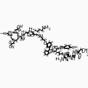 CCC(=O)NCCNC(=O)/N=C(/N)NCCC[C@@H](NC(=O)[C@@H](c1ccccc1)c1cccc(OCCCCNC(=O)[C@@H](CCCCN)NC(=O)CCNC(C=O)N2CCN(CC(=O)O)CCN(CC(=O)O)CCN(CC(=O)O)CC2)c1)C(=O)NCc1ccc(O)cc1